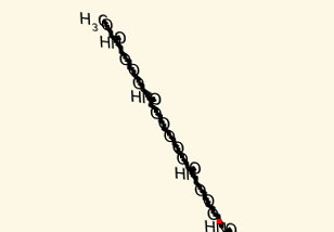 COCCCC(=O)NCCCOCCOCCOCCCNC(=O)CCOCCOCCOCCOCCOCCC(=O)NCCCOCCOCCOCCCNC(=O)CCCOC